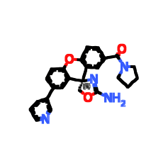 NC1=N[C@]2(CO1)c1cc(C(=O)N3CCCC3)ccc1Oc1ccc(-c3cccnc3)cc12